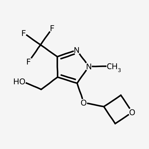 Cn1nc(C(F)(F)F)c(CO)c1OC1COC1